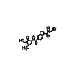 CC(C)CNC(=O)n1ccc2cc(C(=O)NC3CC(C)N(CC#N)C3=O)ccc21